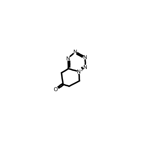 O=C1CC[n+]2nnnnc2C1